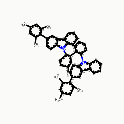 Cc1cc(C)c(-c2ccc3c(c2)c2ccccc2n3-c2ccc(C(F)(F)F)cc2-c2c(C#N)cccc2-n2c3ccccc3c3cc(-c4c(C)cc(C)cc4C)ccc32)c(C)c1